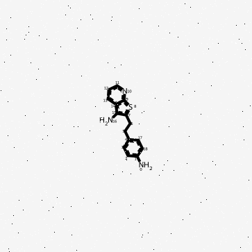 Nc1ccc(CCc2sc3ncccc3c2N)cc1